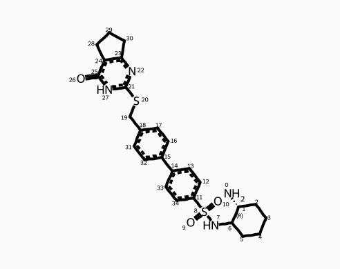 N[C@@H]1CCCCC1NS(=O)(=O)c1ccc(-c2ccc(CSc3nc4c(c(=O)[nH]3)CCC4)cc2)cc1